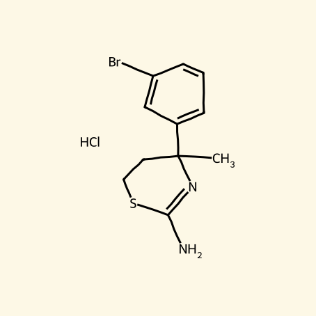 CC1(c2cccc(Br)c2)CCSC(N)=N1.Cl